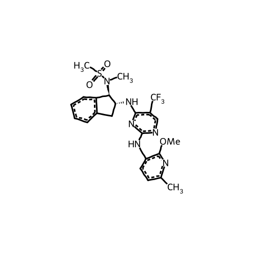 COc1nc(C)ccc1Nc1ncc(C(F)(F)F)c(N[C@@H]2Cc3ccccc3[C@H]2N(C)S(C)(=O)=O)n1